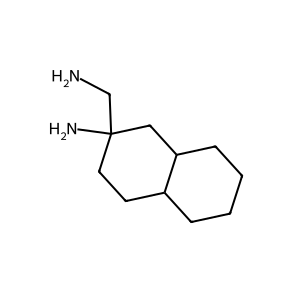 NCC1(N)CCC2CCCCC2C1